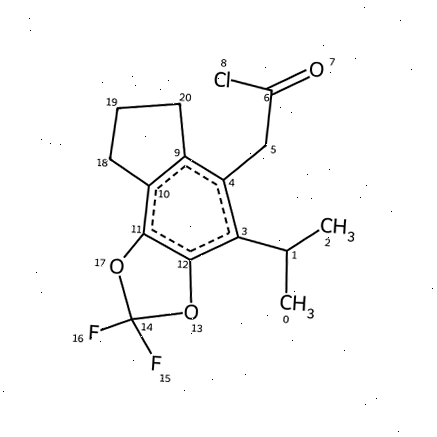 CC(C)c1c(CC(=O)Cl)c2c(c3c1OC(F)(F)O3)CCC2